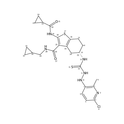 Cc1nc(Cl)ccc1NNC(=S)N[C@H]1CCc2sc(NC(=O)C3CC3)c(C(=O)NCC3CC3)c2C1